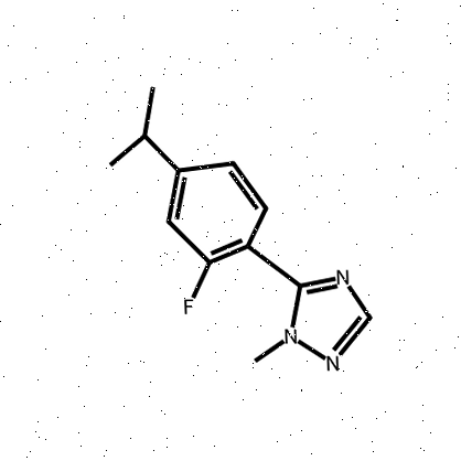 CC(C)c1ccc(-c2ncnn2C)c(F)c1